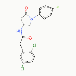 O=C(Cc1cc(Cl)ccc1Cl)NC1CC(=O)N(c2ccc(F)cc2)C1